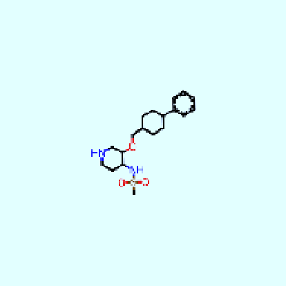 CS(=O)(=O)NC1CCNCC1OCC1CCC(c2ccccc2)CC1